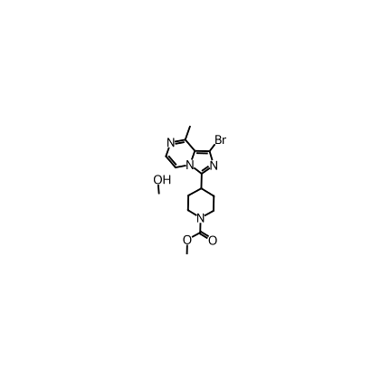 CO.COC(=O)N1CCC(c2nc(Br)c3c(C)nccn23)CC1